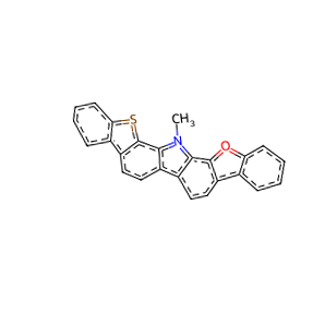 Cn1c2c(ccc3c4ccccc4oc32)c2ccc3c4ccccc4sc3c21